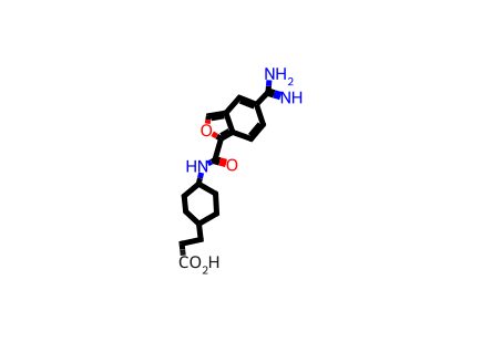 N=C(N)c1ccc2c(C(=O)NC3CCC(CCC(=O)O)CC3)occ2c1